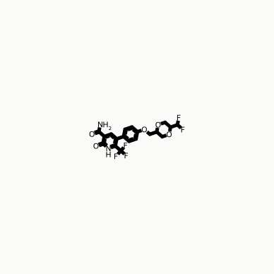 NC(=O)c1cc(-c2ccc(OCC3COC(C(F)F)CO3)cc2)c(C(F)(F)F)[nH]c1=O